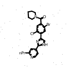 CCCc1cc(-c2nc(-c3cc(Br)c(C(=O)N4CCCCC4)cc3Cl)c[nH]2)ccn1